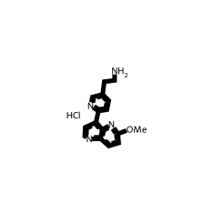 COc1ccc2nccc(-c3ccc(CCN)cn3)c2n1.Cl